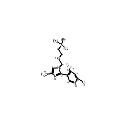 CC[Si](CC)(CC)CCOCn1cc(C(F)(F)F)nc1-c1cnc(Cl)cc1C